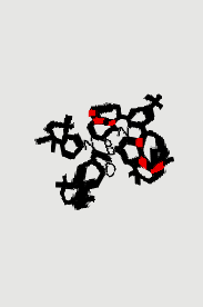 Cc1cc2c3c(c1)N(c1ccc4c(c1)C(C)(C)CCC4(C)C)c1c(oc4cc5c(cc14)C(C)(C)CCC5(C)C)B3c1cc3c(cc1N2c1c(-c2ccccc2)cc(C(C)(C)C)cc1-c1ccccc1)C(C)(C)CCC3(C)C